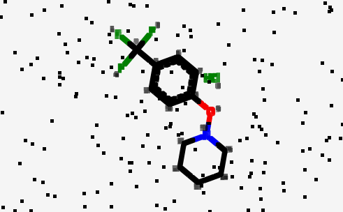 Cl.FC(F)(F)c1ccc(ON2CCCCC2)cc1